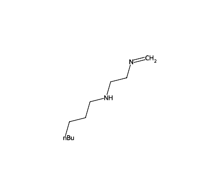 C=NCCNCCCCCCC